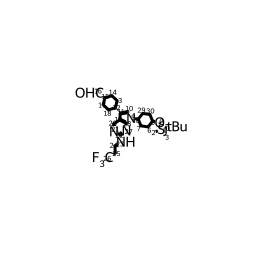 CC(C)(C)[Si](C)(C)OC1CCC(n2cc([C@H]3CC[C@@H](C=O)CC3)c3cnc(NCCC(F)(F)F)nc32)CC1